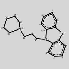 c1ccc2c(c1)Sc1ccccc1N2CCCN1CCCCC1